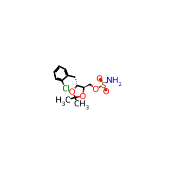 CC1(C)O[C@H](COS(N)(=O)=O)[C@@H](Cc2ccccc2Cl)O1